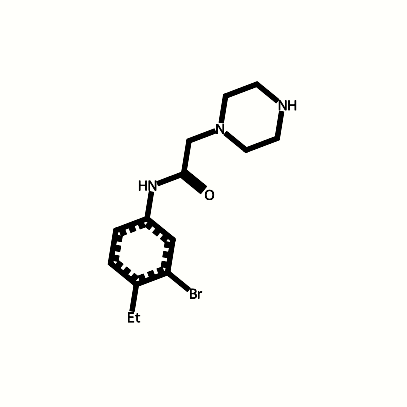 CCc1ccc(NC(=O)CN2CCNCC2)cc1Br